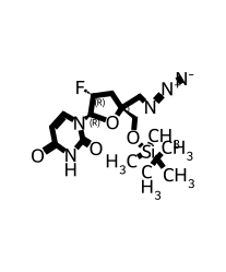 CC(C)(C)[Si](C)(C)OC[C@]1(CN=[N+]=[N-])C[C@@H](F)[C@H](n2ccc(=O)[nH]c2=O)O1